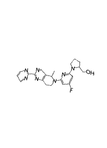 CC1c2cnc(-c3ncccn3)nc2CCN1c1cc(F)cc(N2CCCC2CO)n1